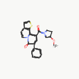 CCCOC1CCN(C(=O)c2cc(-c3ccccc3)c(=O)n3ccc4ccsc4c23)C1